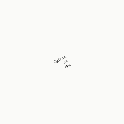 [Cd+2].[S-2].[S-2].[S-2].[W+4]